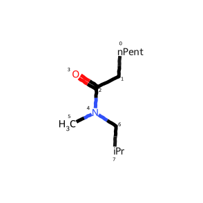 CCCCCCC(=O)N(C)CC(C)C